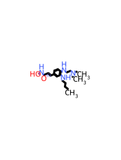 CCCCCNc1cc(/C=C/C(=O)NO)ccc1NCCN(CC)CC